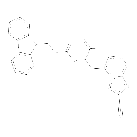 N#Cc1cn2c(CC(NC(=O)OCC3c4ccccc4-c4ccccc43)C(=O)O)cccc2n1